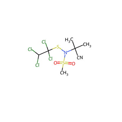 CC(C)(C#N)N(SC(Cl)(Cl)C(Cl)Cl)S(C)(=O)=O